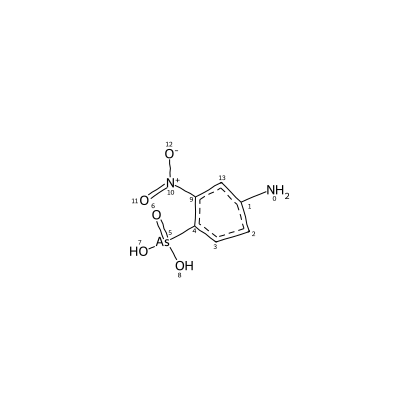 Nc1ccc([As](=O)(O)O)c([N+](=O)[O-])c1